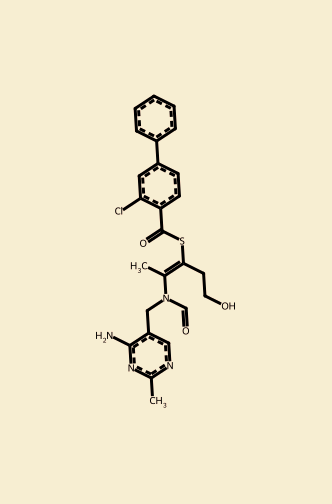 CC(=C(CCO)SC(=O)c1ccc(-c2ccccc2)cc1Cl)N(C=O)Cc1cnc(C)nc1N